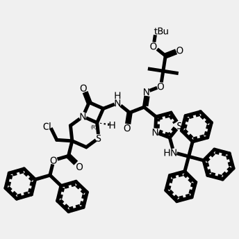 CC(C)(C)OC(=O)C(C)(C)ON=C(C(=O)NC1C(=O)N2CC(CCl)(C(=O)OC(c3ccccc3)c3ccccc3)CS[C@H]12)c1csc(NC(c2ccccc2)(c2ccccc2)c2ccccc2)n1